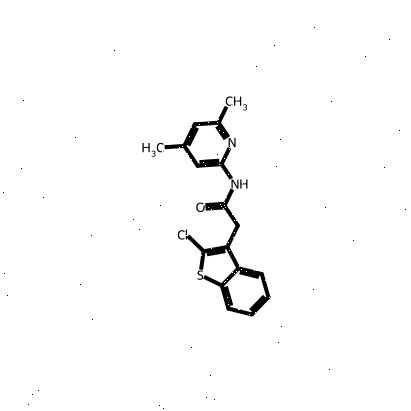 Cc1cc(C)nc(NC(=O)Cc2c(Cl)sc3ccccc23)c1